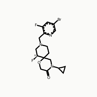 O=C1COC2(CCN(Cc3ncc(Br)cc3F)C[C@@H]2F)CN1C1CC1